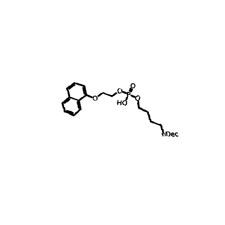 CCCCCCCCCCCCCCOP(=O)(O)OCCOc1cccc2ccccc12